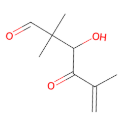 C=C(C)C(=O)C(O)C(C)(C)C=O